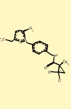 CC1(C(=O)Nc2ccc(-n3nc(C(F)(F)F)cc3C(F)(F)F)cc2)CC1(Cl)Cl